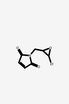 CCC1OC1CN1C(=O)C=CC1=O